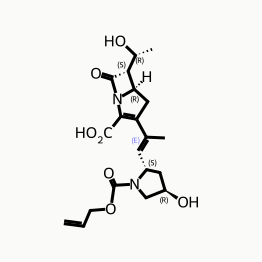 C=CCOC(=O)N1C[C@H](O)C[C@H]1/C=C(\C)C1=C(C(=O)O)N2C(=O)[C@H]([C@@H](C)O)[C@H]2C1